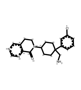 NCC1(c2cccc(Cl)c2)CCC(N2CCc3cncnc3C2=O)CC1